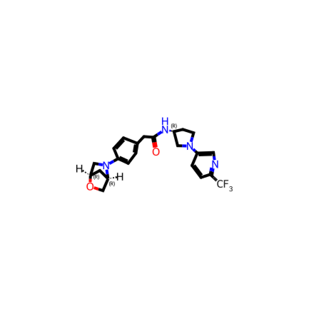 O=C(Cc1ccc(N2C[C@H]3C[C@@H]2CO3)cc1)N[C@@H]1CCN(c2ccc(C(F)(F)F)nc2)C1